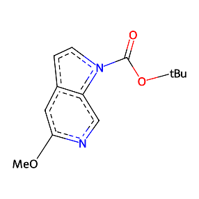 COc1cc2ccn(C(=O)OC(C)(C)C)c2cn1